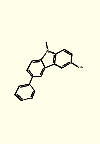 Cn1c2ccc(-c3ccccc3)cc2c2cc(C(C)(C)C)ccc21